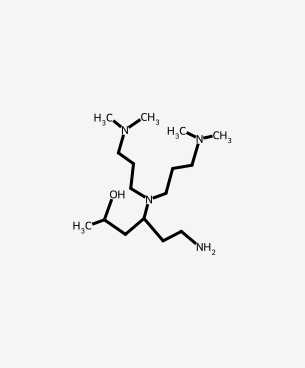 CC(O)CC(CCN)N(CCCN(C)C)CCCN(C)C